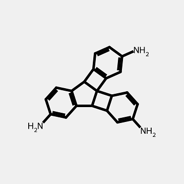 NC1=CC2C(C=C1)C13c4cc(N)ccc4C1c1ccc(N)cc1C23